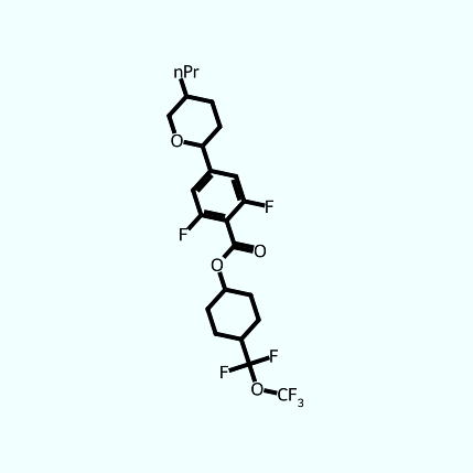 CCCC1CCC(c2cc(F)c(C(=O)OC3CCC(C(F)(F)OC(F)(F)F)CC3)c(F)c2)OC1